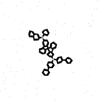 c1ccc(-c2ccc(N(c3ccc(-c4ccccc4)cc3)c3ccc4c(c3)-c3ccccc3C43c4ccccc4-c4cc(N(c5ccccc5)c5ccc6ccccc6c5)ccc43)cc2)cc1